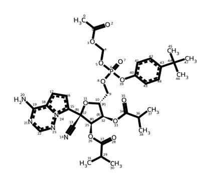 CC(=O)OCOP(=O)(OC[C@H]1O[C@@](C#N)(c2ccc3c(N)ncnn23)[C@H](OC(=O)C(C)C)[C@@H]1OC(=O)C(C)C)Oc1ccc(C(C)(C)C)cc1